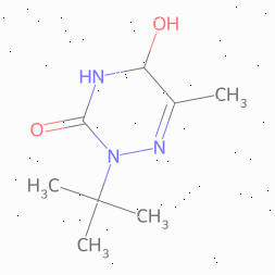 CC1=NN(C(C)(C)C)C(=O)NC1O